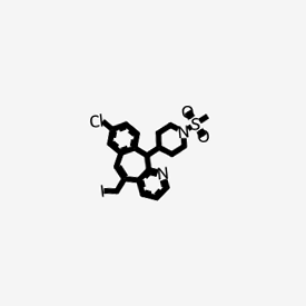 CS(=O)(=O)N1CCC(C2c3ccc(Cl)cc3C=C(CI)c3cccnc32)CC1